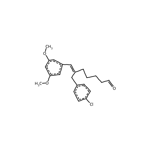 COc1cc(C=C(CCCCC=O)Cc2ccc(Cl)cc2)cc(OC)c1